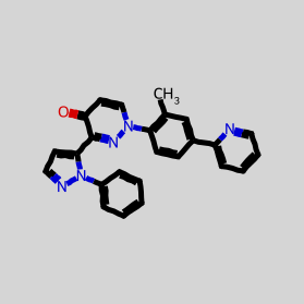 Cc1cc(-c2ccccn2)ccc1-n1ccc(=O)c(-c2ccnn2-c2ccccc2)n1